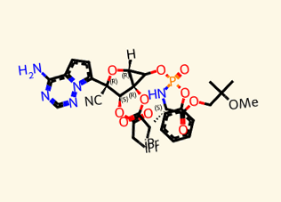 COC(C)(C)COC(=O)[C@H](C)NP(=O)(Oc1ccccc1)OC1[C@H]2O[C@@](C#N)(c3ccc4c(N)ncnn34)[C@H](OC(=O)CC(C)C)[C@@]12OC(=O)CC(C)C